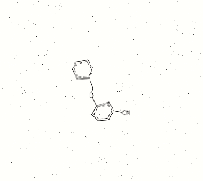 N#Cc1cc[c]c(OCc2ccccc2)c1